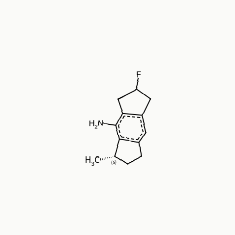 C[C@H]1CCc2cc3c(c(N)c21)CC(F)C3